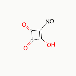 O=Nc1c(O)c(=O)c1=O